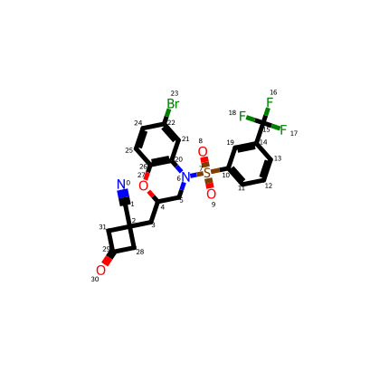 N#CC1(CC2CN(S(=O)(=O)c3cccc(C(F)(F)F)c3)c3cc(Br)ccc3O2)CC(=O)C1